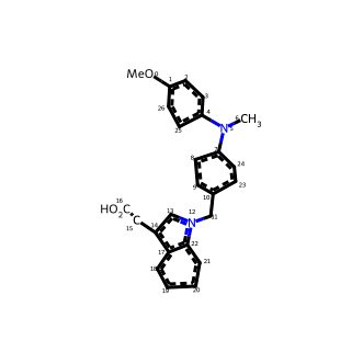 COc1ccc(N(C)c2ccc(Cn3cc(CC(=O)O)c4ccccc43)cc2)cc1